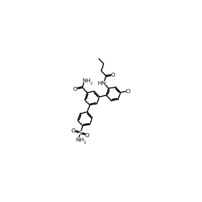 CCCC(=O)Nc1cc(Cl)ccc1-c1cc(C(N)=O)cc(-c2ccc(S(N)(=O)=O)cc2)c1